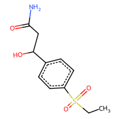 CCS(=O)(=O)c1ccc(C(O)CC(N)=O)cc1